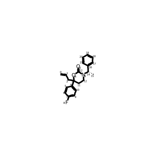 C=CCC1(c2ccc(F)cc2)CCN([C@@H](C)c2ccccc2)C(=O)O1